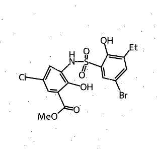 CCc1cc(Br)cc(S(=O)(=O)Nc2cc(Cl)cc(C(=O)OC)c2O)c1O